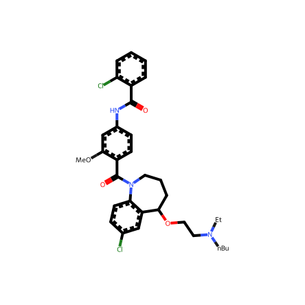 CCCCN(CC)CCOC1CCCN(C(=O)c2ccc(NC(=O)c3ccccc3Cl)cc2OC)c2ccc(Cl)cc21